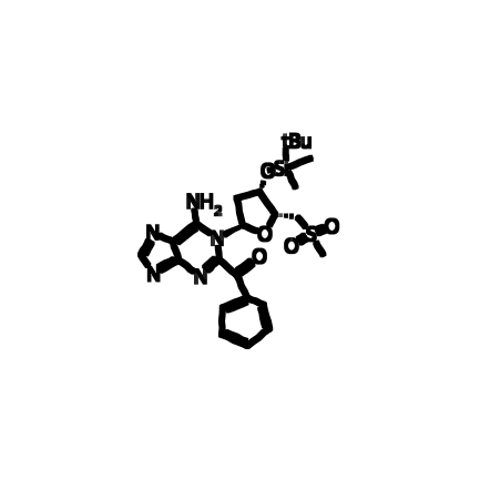 CC(C)(C)[Si](C)(C)O[C@H]1C[C@H](n2c(C(=O)c3ccccc3)nc3ncnc-3c2N)O[C@H]1CS(C)(=O)=O